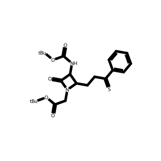 CC(C)(C)OC(=O)CN1C(=O)C(NC(=O)OC(C)(C)C)C1CCC(=S)c1ccccc1